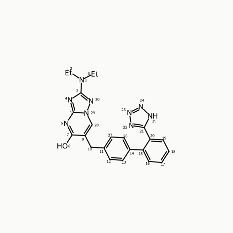 CCN(CC)c1nc2nc(O)c(Cc3ccc(-c4ccccc4-c4nnn[nH]4)cc3)cn2n1